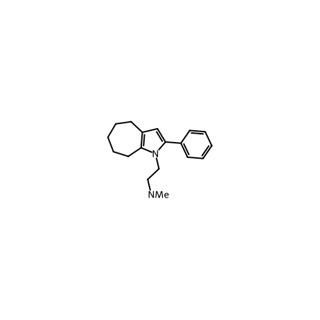 CNCCn1c(-c2ccccc2)cc2c1CCCCC2